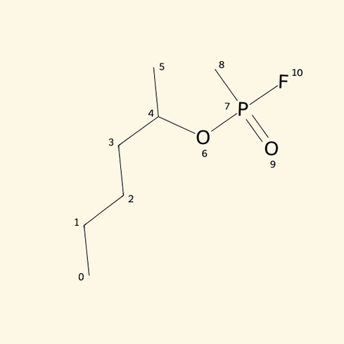 CCCCC(C)OP(C)(=O)F